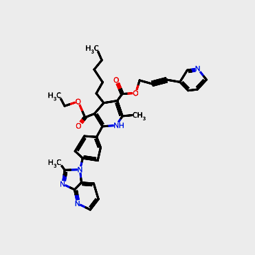 CCCCCC1C(C(=O)OCC#Cc2cccnc2)=C(C)NC(c2ccc(-n3c(C)nc4ncccc43)cc2)=C1C(=O)OCC